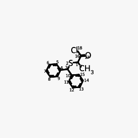 CC(SC(c1ccccc1)c1ccccc1)C(=O)Cl